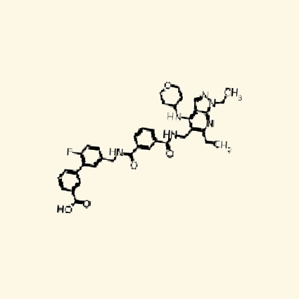 CCc1nc2c(cnn2CC)c(NC2CCOCC2)c1CNC(=O)c1cccc(C(=O)NCc2ccc(F)c(-c3cccc(C(=O)O)c3)c2)c1